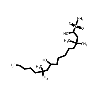 CCCCCC(C)(C)CC(O)CCCCCC(C)(C)CC(O)S(N)(=O)=O